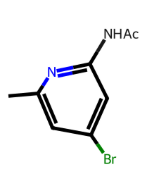 CC(=O)Nc1cc(Br)cc(C)n1